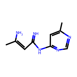 C/C(N)=C/C(=N)Nc1cc(C)ncn1